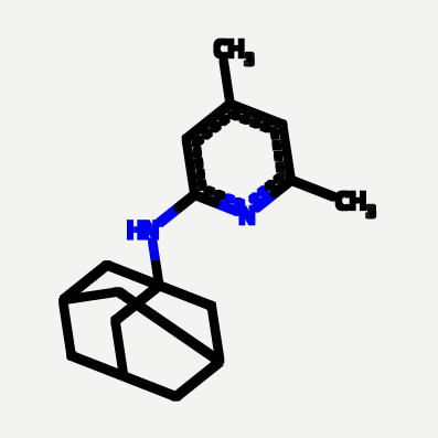 Cc1cc(C)nc(NC23CC4CC(CC(C4)C2)C3)c1